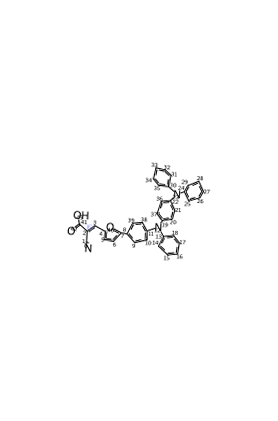 N#C/C(=C\c1ccc(-c2ccc(N(c3ccccc3)c3ccc(N(c4ccccc4)c4ccccc4)cc3)cc2)o1)C(=O)O